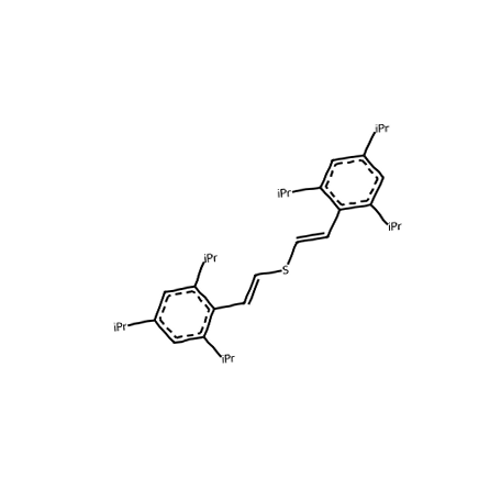 CC(C)c1cc(C(C)C)c(C=CSC=Cc2c(C(C)C)cc(C(C)C)cc2C(C)C)c(C(C)C)c1